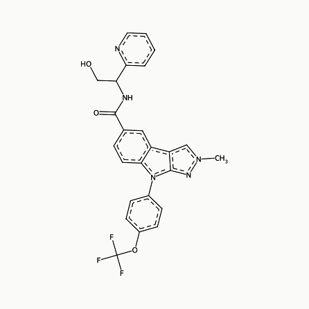 Cn1cc2c3cc(C(=O)NC(CO)c4ccccn4)ccc3n(-c3ccc(OC(F)(F)F)cc3)c2n1